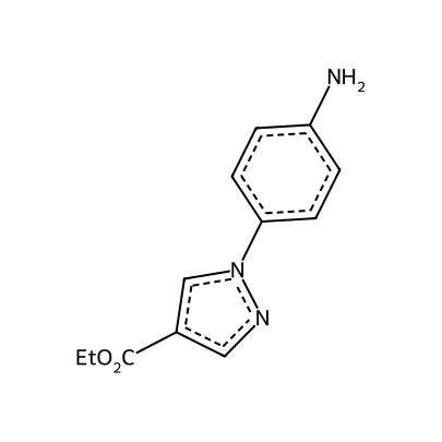 CCOC(=O)c1cnn(-c2ccc(N)cc2)c1